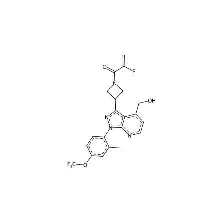 C=C(F)C(=O)N1CC(c2nn(-c3ccc(OC(F)(F)F)cc3C)c3nccc(CO)c23)C1